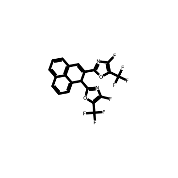 Fc1nc(C2=Cc3cccc4cccc(c34)C2c2nc(F)c(C(F)(F)F)o2)oc1C(F)(F)F